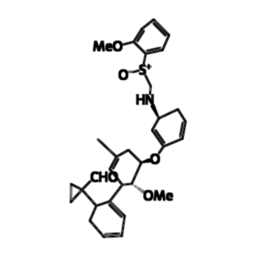 COc1ccccc1[S+]([O-])CN[C@@H]1C=C(O[C@@H]2CC(C)=CC(C3=CC=CCC3C3(C=O)CC3)[C@H]2OC)C=CC1